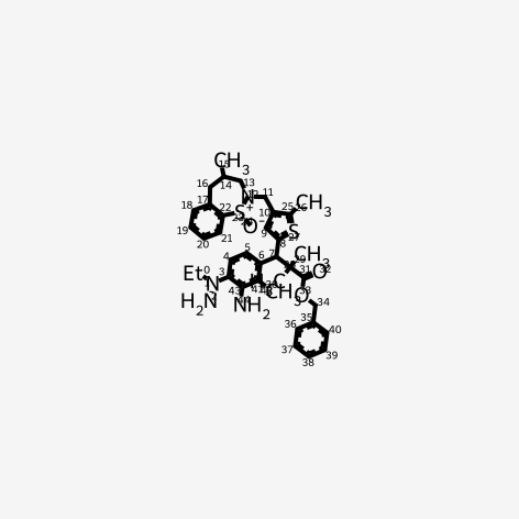 CCN(N)c1ccc(C(c2cc(CN3CC(C)Cc4ccccc4[S+]3[O-])c(C)s2)C(C)(C)C(=O)OCc2ccccc2)c(C)c1N